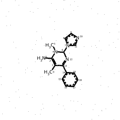 CC1=C(N)N(C)C(n2ccnc2)N=C1c1ccccc1